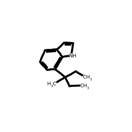 CCC(C)(CC)c1cccc2cc[nH]c12